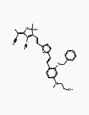 [C-]#[N+]C1=C(/C=C/c2ccc(/C=C/c3ccc(N(C)CCO)cc3OCc3ccccc3)s2)C(C)(C)O/C1=C(\C)C#N